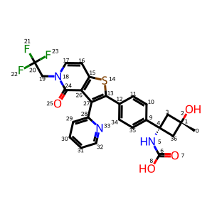 C[C@]1(O)C[C@](NC(=O)O)(c2ccc(-c3sc4ccn(CC(F)(F)F)c(=O)c4c3-c3ccccn3)cc2)C1